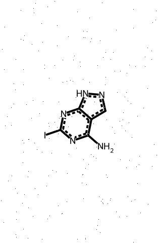 Nc1nc(I)nc2[nH]ncc12